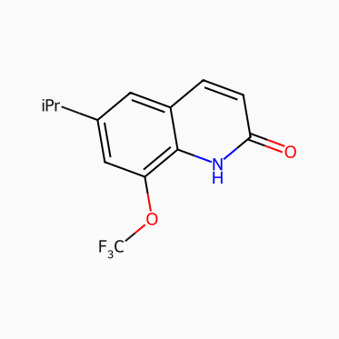 CC(C)c1cc(OC(F)(F)F)c2[nH]c(=O)ccc2c1